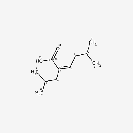 CC(C)C/C=C(/CC(C)C)C(=O)O